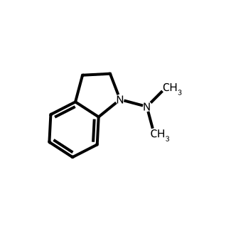 CN(C)N1CCc2ccccc21